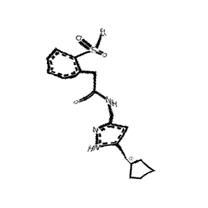 CCS(=O)(=O)c1ccccc1CC(=O)Nc1cc([C@H]2C[CH]CC2)[nH]n1